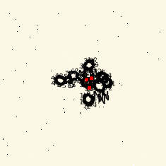 c1ccc(-c2nnn(-c3ccccc3)c2-c2cccc3c2c2ccccc2n3-c2ccccc2-n2c3ccccc3c3c4sc5ccccc5c4ccc32)cc1